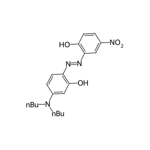 CCCCN(CCCC)c1ccc(N=Nc2cc([N+](=O)[O-])ccc2O)c(O)c1